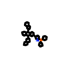 c1ccc(P(c2ccccc2)c2ccc(-c3ccc4c(-c5ccc6ccccc6c5)c5ccccc5c(-c5ccc6ccccc6c5)c4c3)cn2)cc1